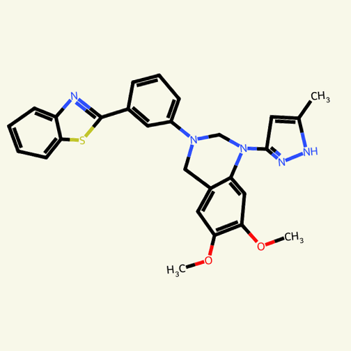 COc1cc2c(cc1OC)N(c1cc(C)[nH]n1)CN(c1cccc(-c3nc4ccccc4s3)c1)C2